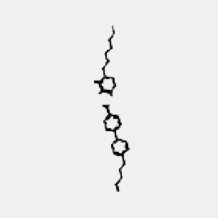 CCCCCCCc1ccc(OC(=O)c2ccc(-c3ccc(CCCCC)cc3)cc2)c(F)c1F